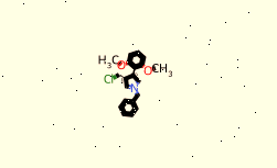 COc1cccc(OC)c1[C@H]1CN(Cc2ccccc2)C[C@@H]1CCl